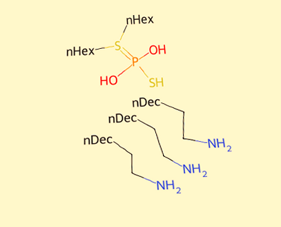 CCCCCCCCCCCCN.CCCCCCCCCCCCN.CCCCCCCCCCCCN.CCCCCCS(CCCCCC)=P(O)(O)S